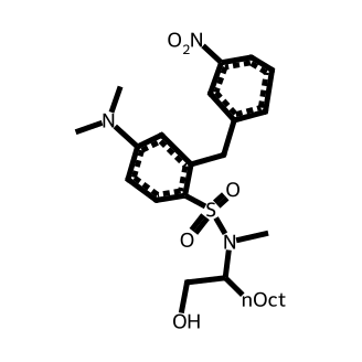 CCCCCCCCC(CO)N(C)S(=O)(=O)c1ccc(N(C)C)cc1Cc1cccc([N+](=O)[O-])c1